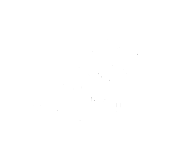 CCC(Oc1nc(C)c(-c2ccc(Cl)cc2Cl)nc1C)C1CCCC1